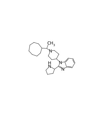 CC(C1CCCCCCC1)N1CCC(n2c(C3CCCN3)nc3ccccc32)CC1